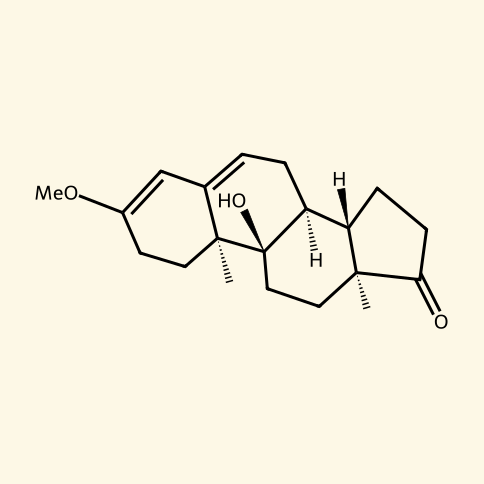 COC1=CC2=CC[C@H]3[C@@H]4CCC(=O)[C@@]4(C)CC[C@]3(O)[C@@]2(C)CC1